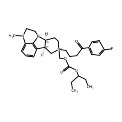 CCC(CC)OC(=O)OC[N+]1(CCCC(=O)c2ccc(F)cc2)CC[C@H]2[C@@H](C1)c1cccc3c1N2CCN3C